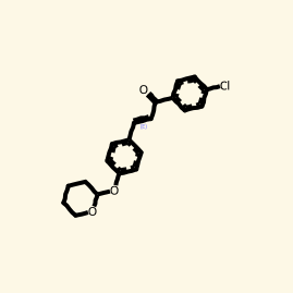 O=C(/C=C/c1ccc(OC2CCCCO2)cc1)c1ccc(Cl)cc1